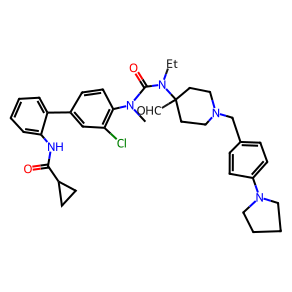 CCN(C(=O)N(C)c1ccc(-c2ccccc2NC(=O)C2CC2)cc1Cl)C1(C=O)CCN(Cc2ccc(N3CCCC3)cc2)CC1